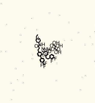 CCN1CCC(NC(=O)CCc2ccc(-c3ccc(C(F)(F)F)cc3)c([N+]3(C)C(CCc4cccc(F)c4F)=CC(=O)c4[nH]ncc43)c2)CC1.O=C(O)C(O)C(O)C(=O)O